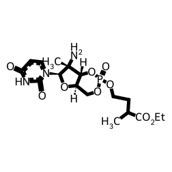 CCOC(=O)C(C)CCOP1(=O)OC[C@H]2O[C@@H](n3ccc(=O)[nH]c3=O)[C@](C)(N)[C@@H]2O1